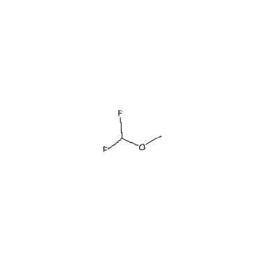 COC(F)F